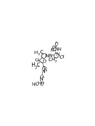 Cc1cc([C@@H](C)Nc2ccc(Cl)nc2-c2noc(=O)[nH]2)c2oc(-c3cnn(C4CN(C(=O)O)C4)c3)c(C)c(=O)c2c1